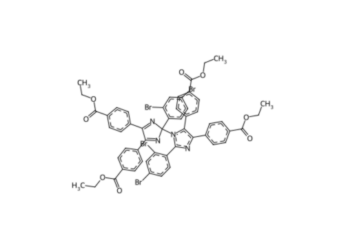 CCOC(=O)c1ccc(C2=NC(c3ccc(Br)cc3Br)(n3c(-c4ccc(Br)cc4Br)nc(-c4ccc(C(=O)OCC)cc4)c3-c3ccc(C(=O)OCC)cc3)N=C2c2ccc(C(=O)OCC)cc2)cc1